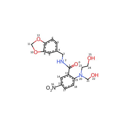 O=C(NCc1ccc2c(c1)OCO2)c1cc([N+](=O)[O-])ccc1N(CO)CCO